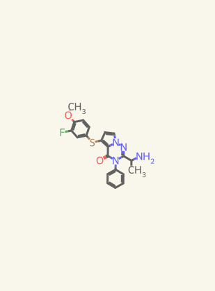 COc1ccc(Sc2ccn3nc(C(C)N)n(-c4ccccc4)c(=O)c23)cc1F